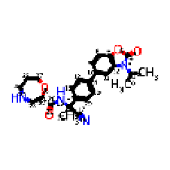 CC(C)n1c(=O)oc2ccc(-c3ccc([C@@](C)(C#N)NC(=O)[C@@H]4CNCCCO4)cc3)cc21